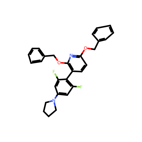 Fc1cc(N2CCCC2)cc(F)c1-c1ccc(OCc2ccccc2)nc1OCc1ccccc1